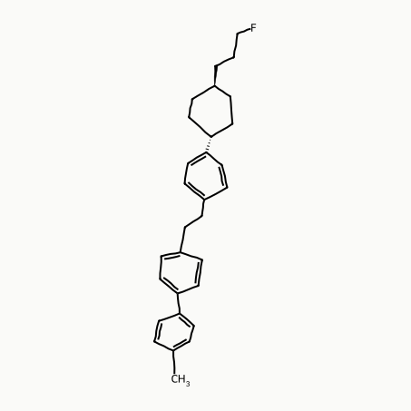 Cc1ccc(-c2ccc(CCc3ccc([C@H]4CC[C@H](CCCF)CC4)cc3)cc2)cc1